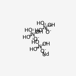 [Nd].[O-][N+](O)(O)O.[O-][N+](O)(O)O.[O-][N+](O)(O)O